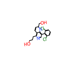 OCCCc1ncc(-c2c(Cl)cccc2Cl)c2nc(CO)ccc12